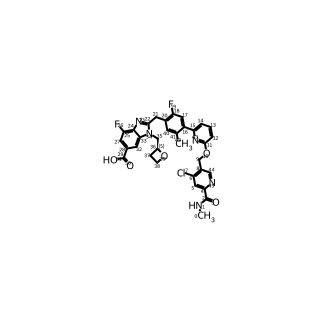 CNC(=O)c1cc(Cl)c(COc2cccc(-c3cc(F)c(Cc4nc5c(F)cc(C(=O)O)cc5n4C[C@@H]4CCO4)cc3C)n2)cn1